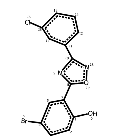 Oc1ccc(Br)cc1-c1nc(-c2cccc(Cl)c2)no1